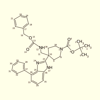 CC(C)(C)OC(=O)N1CCC(CNC(=O)OCc2ccccc2)(c2nc3c(-c4ccccc4)cccc3[nH]2)CC1